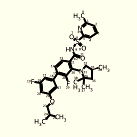 Cc1cccc(S(=O)(=O)NC(=O)c2ccc(-c3cc(F)cc(OCC(C)C)c3)c(F)c2N2C[C@@H](C)CC2(C)C)n1